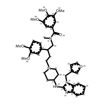 COc1ccc(C(CCN2CCC(Nc3nc4ccccc4n3Cc3ccoc3)CC2)CN(C)C(=O)c2cc(OC)c(OC)c(OC)c2)cc1OC